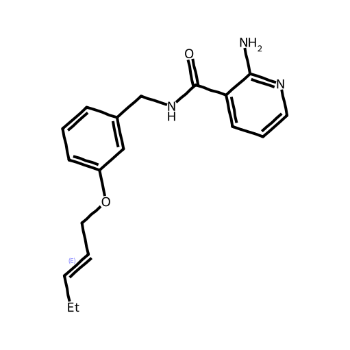 CC/C=C/COc1cccc(CNC(=O)c2cccnc2N)c1